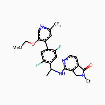 CCN1Cc2c(ccnc2NC(C)c2cc(F)c(-c3cc(C(F)(F)F)ncc3OCOC)cc2F)C1=O